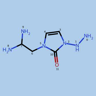 NNn1ccn(CC(N)N)c1=O